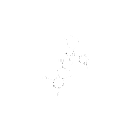 CC(C)c1cc(F)cc(C(C)C)c1CC(=O)NS(=O)(=O)N(c1cnn(C)c1)C1CCCN(C)C1